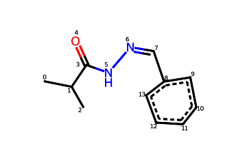 CC(C)C(=O)N/N=C\c1ccccc1